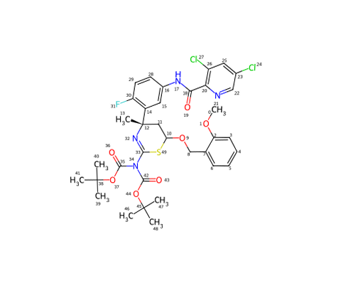 COc1ccccc1COC1C[C@@](C)(c2cc(NC(=O)c3ncc(Cl)cc3Cl)ccc2F)N=C(N(C(=O)OC(C)(C)C)C(=O)OC(C)(C)C)S1